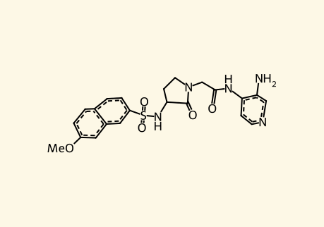 COc1ccc2ccc(S(=O)(=O)NC3CCN(CC(=O)Nc4ccncc4N)C3=O)cc2c1